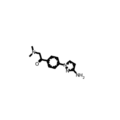 CN(C)CC(=O)c1ccc(-n2ccc(N)n2)cc1